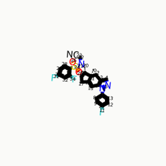 C[C@]12Cc3cnn(-c4ccc(F)cc4)c3C=C1CC[C@@H]2CN(CC#N)S(=O)(=O)c1ccc(F)cc1F